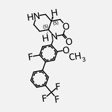 COc1cc(-c2cccc(C(F)(F)F)c2)c(F)cc1N1C(=O)OC[C@H]2CNCC[C@@H]21